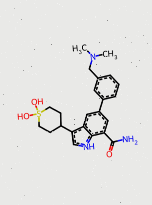 CN(C)Cc1cccc(-c2cc(C(N)=O)c3[nH]cc(C4CCS(O)(O)CC4)c3c2)c1